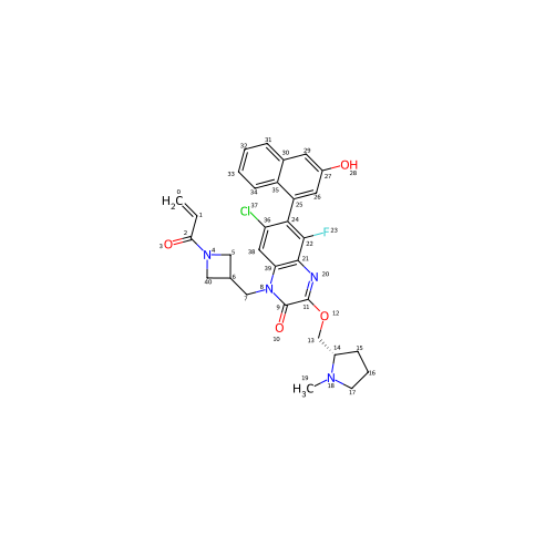 C=CC(=O)N1CC(Cn2c(=O)c(OC[C@@H]3CCCN3C)nc3c(F)c(-c4cc(O)cc5ccccc45)c(Cl)cc32)C1